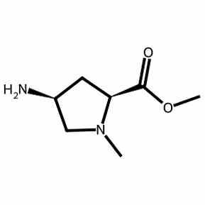 COC(=O)[C@@H]1C[C@H](N)CN1C